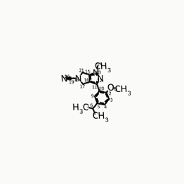 COc1ccc(C(C)C)cc1-c1nn(C)c2c1CN(C#N)C2